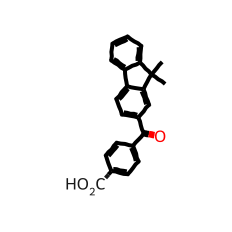 CC1(C)c2ccccc2-c2ccc(C(=O)c3ccc(C(=O)O)cc3)cc21